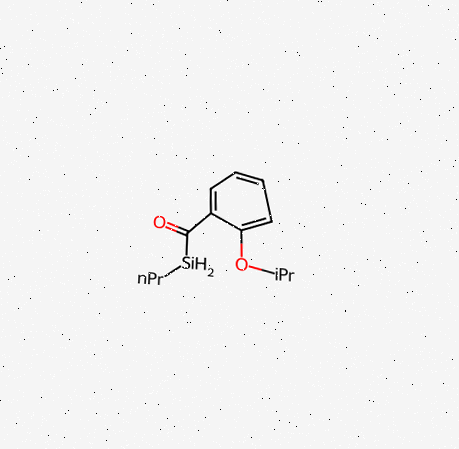 CCC[SiH2]C(=O)c1ccccc1OC(C)C